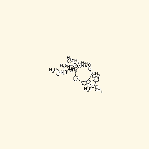 C=CC(=O)N1CC[C@H](C(=O)N(C)C(C(=O)N[C@H]2Cc3cccc(c3)-c3ccc4c(c3)c(c(-c3cnccc3[C@H](C)OC)n4CC)CC(C)(C)COC(=O)[C@@H]3CCCN(N3)C2=O)C(C)C)C1